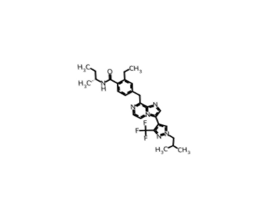 CCc1cc(Cc2nccn3c(-c4cn(CC(C)C)nc4C(F)(F)F)cnc23)ccc1C(=O)N[C@H](C)CC